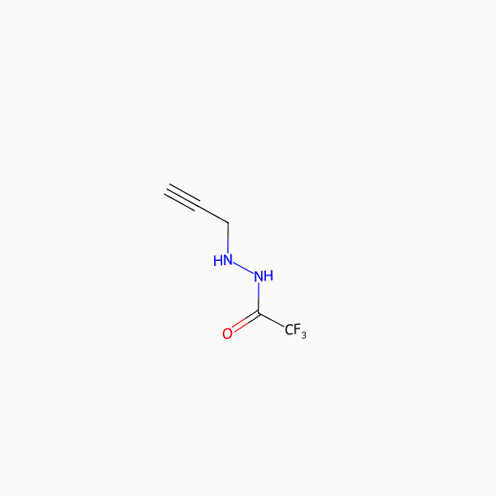 C#CCNNC(=O)C(F)(F)F